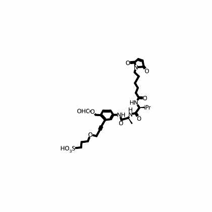 CC(C)[C@H](NC(=O)CCCCCN1C(=O)C=CC1=O)C(=O)N[C@@H](C)C(=O)Nc1ccc(COC=O)c(C#CCOCCCS(=O)(=O)O)c1